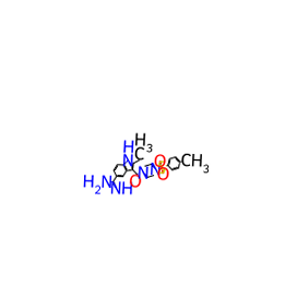 CCc1[nH]c2ccc(C(=N)N)cc2c1C(=O)N1CCN(S(=O)(=O)c2ccc(C)cc2)CC1